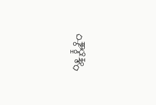 O=C(NC[C@]1(O)CO[C@H](CNS(=O)(=O)c2ccccc2)[C@H]1O)c1ccccc1